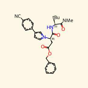 CNC(=O)[C@@H](NC(=O)[C@@H](CC(=O)OCc1ccccc1)n1ccc(-c2ccc(C#N)cc2)c1)C(C)(C)C